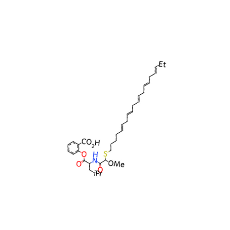 CCC=CCC=CCC=CCC=CCC=CCCCCSC(OC)C(=O)NC(CC(C)C)C(=O)Oc1ccccc1C(=O)O